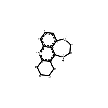 c1cc2c3c(c4c(nc3c1)CCCC4)NCCO2